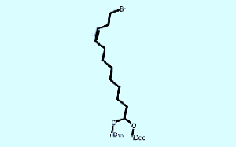 CCCCCCCCCCOC(CCCCCCC/C=C\CCBr)OCCCCCCCCCC